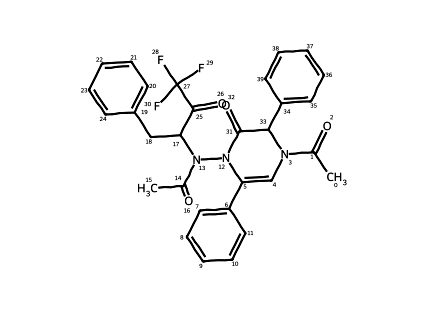 CC(=O)N1C=C(c2ccccc2)N(N(C(C)=O)C(Cc2ccccc2)C(=O)C(F)(F)F)C(=O)C1c1ccccc1